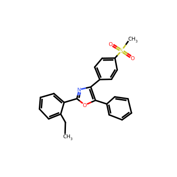 CCc1ccccc1-c1nc(-c2ccc(S(C)(=O)=O)cc2)c(-c2ccccc2)o1